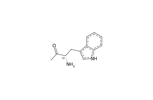 CC(=O)[C@@H](N)Cc1c[nH]c2ccccc12